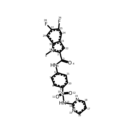 Cn1c(C(=O)Nc2ccc(S(=O)(=O)Nc3ncccn3)cc2)cc2cc(F)c(F)cc21